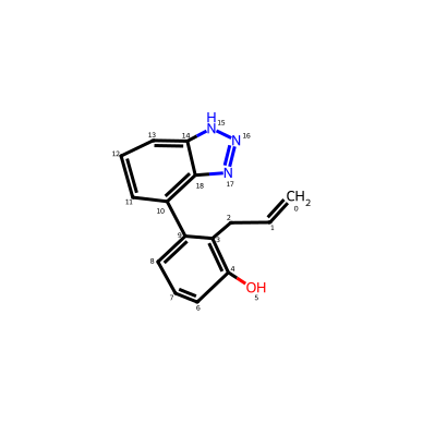 C=CCc1c(O)cccc1-c1cccc2[nH]nnc12